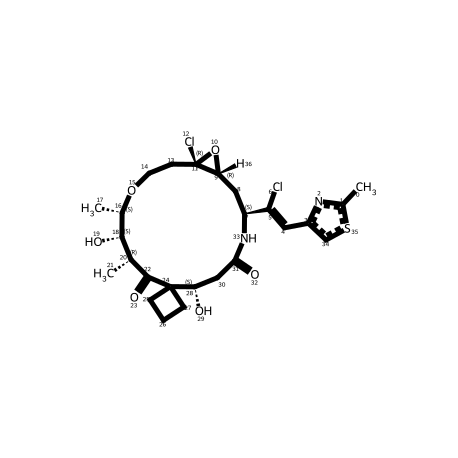 Cc1nc(C=C(Cl)[C@@H]2C[C@H]3O[C@@]3(Cl)CCO[C@@H](C)[C@@H](O)[C@@H](C)C(=O)C3(CCC3)[C@@H](O)CC(=O)N2)cs1